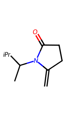 C=C1CCC(=O)N1C(C)C(C)C